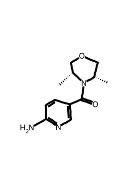 C[C@@H]1COC[C@H](C)N1C(=O)c1ccc(N)nc1